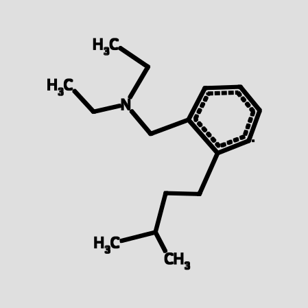 CCN(CC)Cc1ccc[c]c1CCC(C)C